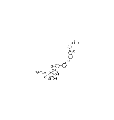 C=CCOC(=O)[C@H]1OC(OC(=O)c2cc(-c3cccc(COc4ccc5c(c4)CN(C4CCC(OC6CCCCO6)C4)C5=O)c3)ccc2Cl)[C@H](O)[C@@H](O)[C@@H]1O